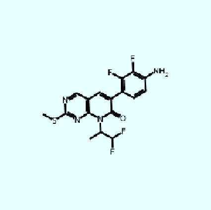 CSc1ncc2cc(-c3ccc(N)c(F)c3F)c(=O)n(C(C)C(F)F)c2n1